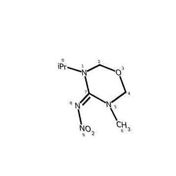 CC(C)N1COCN(C)/C1=N\[N+](=O)[O-]